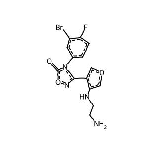 NCCNc1cocc1-c1noc(=O)n1-c1ccc(F)c(Br)c1